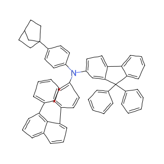 c1ccc(-c2cccc3cccc(-c4ccc(N(c5ccc(C67CCC(CC6)C7)cc5)c5ccc6c(c5)C(c5ccccc5)(c5ccccc5)c5ccccc5-6)cc4)c23)cc1